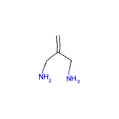 C=C(CN)CN